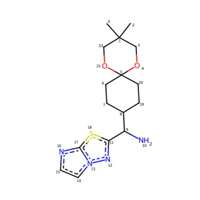 CC1(C)COC2(CCC(C(N)c3nn4ccnc4s3)CC2)OC1